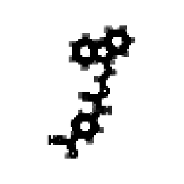 O=C(Nc1ccc(C(=O)O)cc1)OCCC1c2ccccc2-c2ccccc21